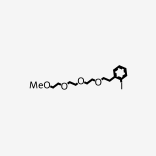 COCCOCCOCCOCCc1ccccc1I